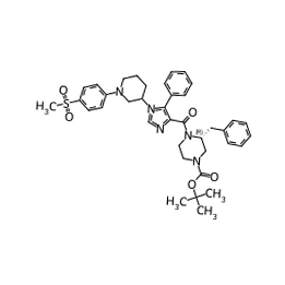 CC(C)(C)OC(=O)N1CCN(C(=O)c2ncn(C3CCCN(c4ccc(S(C)(=O)=O)cc4)C3)c2-c2ccccc2)[C@H](Cc2ccccc2)C1